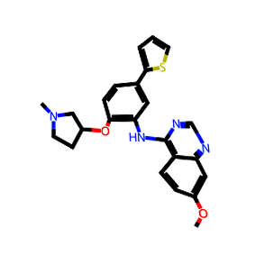 COc1ccc2c(Nc3cc(-c4cccs4)ccc3OC3CCN(C)C3)ncnc2c1